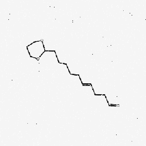 O=CCCC=CCCCCCC1OCCCO1